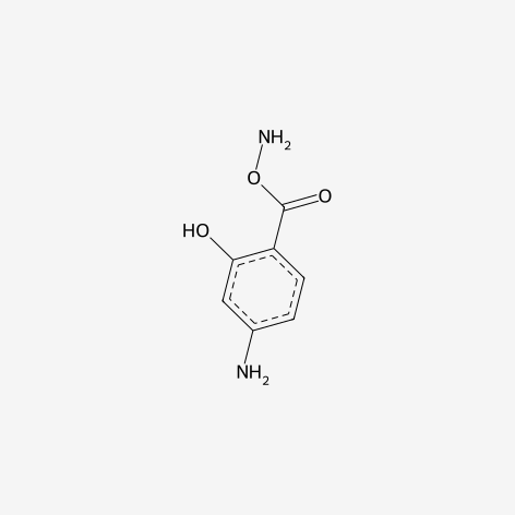 NOC(=O)c1ccc(N)cc1O